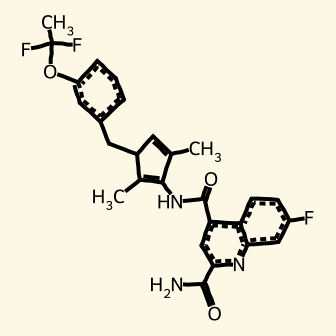 CC1=CC(Cc2cccc(OC(C)(F)F)c2)C(C)=C1NC(=O)c1cc(C(N)=O)nc2cc(F)ccc12